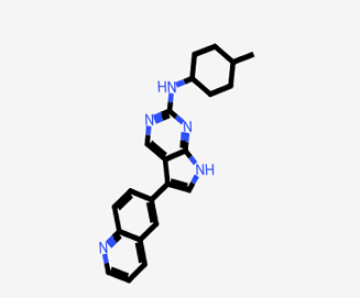 CC1CCC(Nc2ncc3c(-c4ccc5ncccc5c4)c[nH]c3n2)CC1